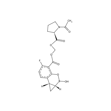 CC(=O)N1CCC[C@@H]1C(=O)OCOC(=O)c1c(F)ccc2c1OB(O)[C@@H]1C[C@H]21